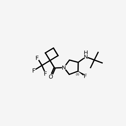 CC(C)(C)NC1CN(C(=O)C2(C(F)(F)F)CCC2)C[C@@H]1F